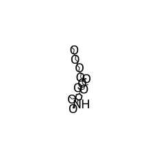 COCCOCCOCCOC(=O)OC(C)OC(=O)c1ccc(NC=O)c(OC)c1